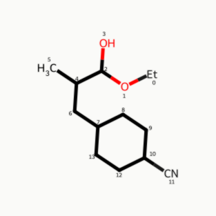 CCOC(O)C(C)CC1CCC(C#N)CC1